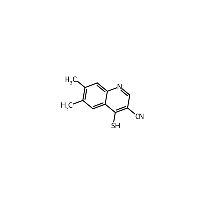 Cc1cc2ncc(C#N)c(S)c2cc1C